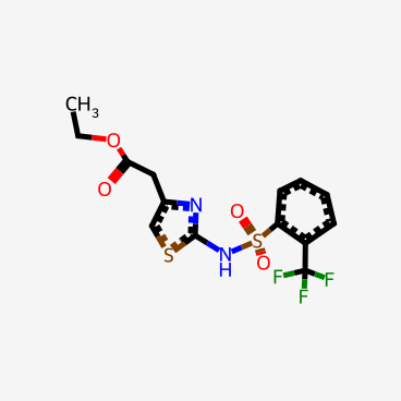 CCOC(=O)Cc1csc(NS(=O)(=O)c2ccccc2C(F)(F)F)n1